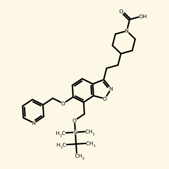 CC(C)(C)[Si](C)(C)OCc1c(OCc2cccnc2)ccc2c(CCC3CCN(C(=O)O)CC3)noc12